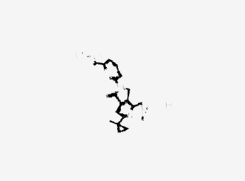 CN(Cc1nc(C2(C)CC2)cc2c1CN(c1cccc(C(=O)NN)n1)C2=O)C(=O)O